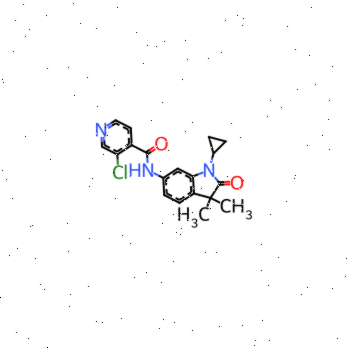 CC1(C)C(=O)N(C2CC2)c2cc(NC(=O)c3ccncc3Cl)ccc21